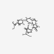 Cc1nn(C(C)C)cc1-n1c(=O)n(C)c2cnc3ccc(-c4cnc(N(C)C)nc4)cc3c21